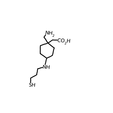 NCC1(CC(=O)O)CCC(NCCCS)CC1